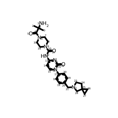 CC(C)(N)C(=O)N1CCN(C(=O)Nc2ccn(-c3ccc(CN4CCC5(CC5)C4)cc3)c(=O)n2)CC1